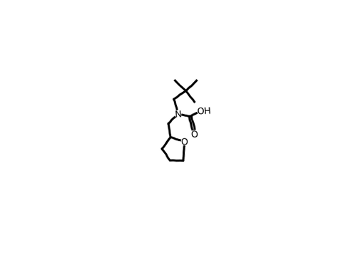 CC(C)(C)CN(CC1CCCO1)C(=O)O